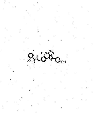 COc1ccccc1C(=O)NCc1ccc(-c2nc(C3CCC(O)CC3)n3ccnc(N)c23)cc1